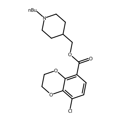 CCCCN1CCC(COC(=O)c2ccc(Cl)c3c2OCCO3)CC1